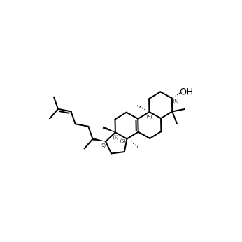 CC(C)=CCCC(C)[C@@H]1CC[C@]2(C)C3=C(CC[C@@]12C)[C@@]1(C)CC[C@H](O)C(C)(C)C1CC3